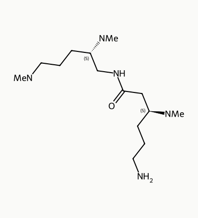 CNCCC[C@@H](CNC(=O)C[C@H](CCCN)NC)NC